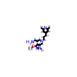 CCOc1cc(CN(CCCN)CCCc2cc(C)nc(C)c2)n(C)n1